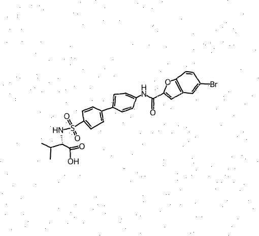 CC(C)[C@H](NS(=O)(=O)c1ccc(-c2ccc(NC(=O)c3cc4cc(Br)ccc4o3)cc2)cc1)C(=O)O